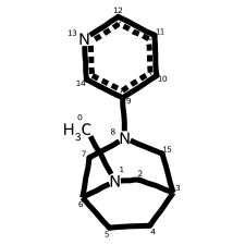 CN1CC2CCC1CN(c1cccnc1)C2